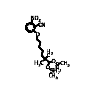 C[SiH2]OC(O[SiH2]C)C(C)(C)CCCCCOc1cccc([N+](=O)[O-])c1C#N